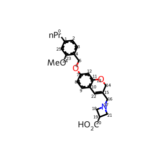 CCCc1ccc(COc2ccc3c(c2)OCC(CN2CC(C(=O)O)C2)=C3)c(OC)c1